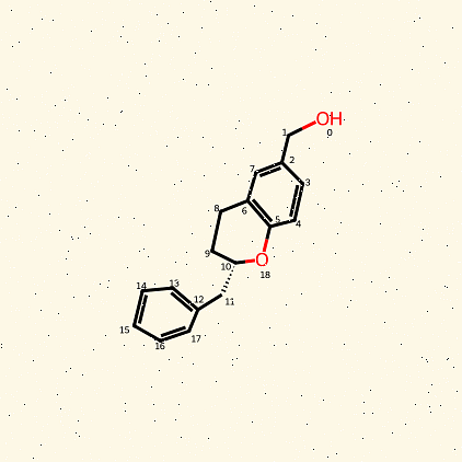 OCc1ccc2c(c1)CC[C@@H](Cc1ccccc1)O2